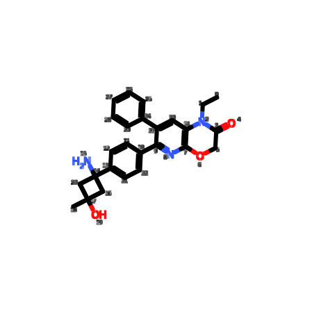 CCN1C(=O)COc2nc(-c3ccc(C4(N)CC(C)(O)C4)cc3)c(-c3ccccc3)cc21